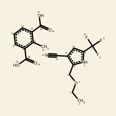 CCOCc1[nH]c(C(F)(F)F)cc1C#N.Cc1c(C(=O)O)cccc1C(=O)O